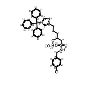 O=C(O)OC(CCCc1cn(C(c2ccccc2)(c2ccccc2)c2ccccc2)cn1)CS(=O)(=O)NCc1ccc(Cl)cc1